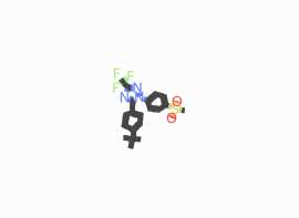 CC(C)(C)c1ccc(-c2nc(C(F)(F)F)nn2-c2ccc(S(C)(=O)=O)cc2)cc1